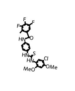 COc1cc(OC)c(NC(=S)Nc2ccc(NC(=O)c3cc(F)c(F)c(F)c3C)cc2)cc1Cl